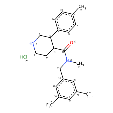 Cc1ccc(C2CNCCC2C(=O)N(C)Cc2cc(C(F)(F)F)cc(C(F)(F)F)c2)cc1.Cl